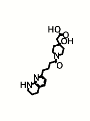 O=C(O)CC1(O)CCN(C(=O)CCCc2ccc3c(n2)NCCC3)CC1